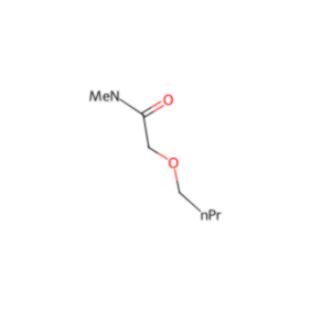 [CH2]NC(=O)COCCCC